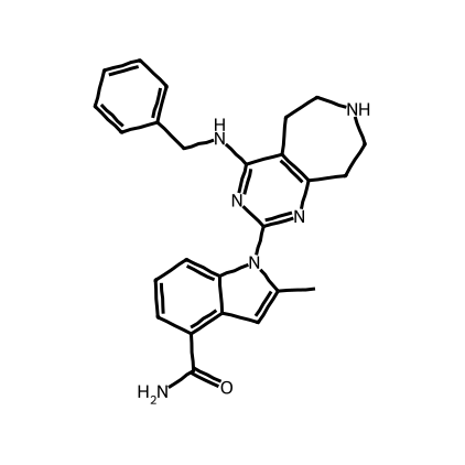 Cc1cc2c(C(N)=O)cccc2n1-c1nc2c(c(NCc3ccccc3)n1)CCNCC2